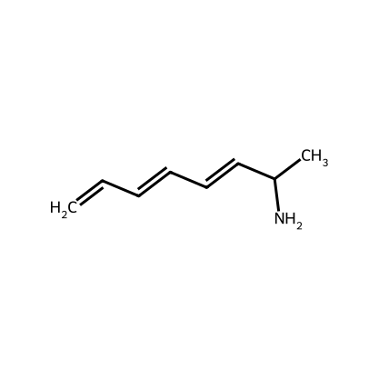 C=CC=CC=CC(C)N